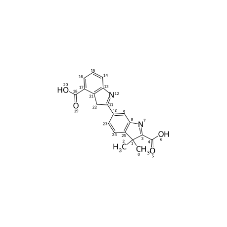 CC1(C)C(C(=O)O)=Nc2cc(C3=Nc4cccc(C(=O)O)c4C3)ccc21